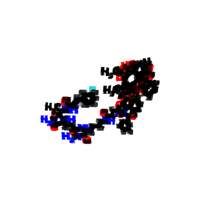 CC(=O)O[C@H]1C(=O)[C@@]2(C)[C@H]([C@H](OC(=O)c3ccccc3)[C@]3(O)C[C@H](OC(=O)[C@H](OC(=O)CCC(=O)NCCCCC(NC(=O)CC[C@H](NC(=O)C(C)NC(=O)/C=C/c4cccc(F)c4)C(N)=O)C(N)=O)[C@H](NC(=O)c4ccccc4)c4ccccc4)C(C)=C1C3(C)C)[C@]1(OC(C)=O)CO[C@@H]1C[C@@H]2O